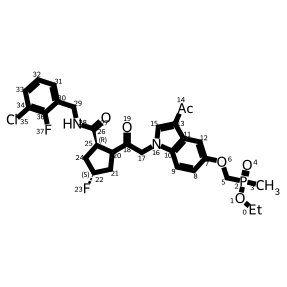 CCOP(C)(=O)COc1ccc2c(c1)c(C(C)=O)cn2CC(=O)C1C[C@H](F)C[C@H]1C(=O)NCc1cccc(Cl)c1F